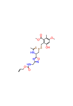 C=CCOC(=O)NCc1noc(C(CSSCc2c(O)cc(OC)c(C)c2C(=O)OC)NC(C)=S)n1